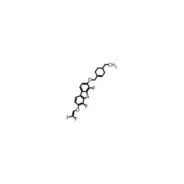 CCC1CC=C(COc2ccc3c(sc4c(F)c(OC=C(F)F)ccc43)c2F)CC1